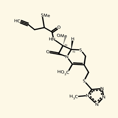 C#CCC(SC)C(=O)N[C@]1(OC)C(=O)N2C(C(=O)O)=C(CSc3nnnn3C)CS[C@H]21